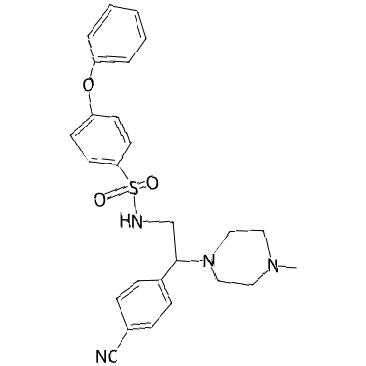 CN1CCN(C(CNS(=O)(=O)c2ccc(Oc3ccccc3)cc2)c2ccc(C#N)cc2)CC1